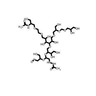 CC(=O)NNCC(OC(CO)CN=O)OC(COC(C(O)COCC(CO)OCOCC(O)CO)C(O)C(O)COCCOCC(CO)NC(C)=O)C(O)CO